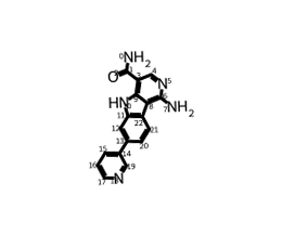 NC(=O)c1cnc(N)c2c1[nH]c1cc(-c3cccnc3)ccc12